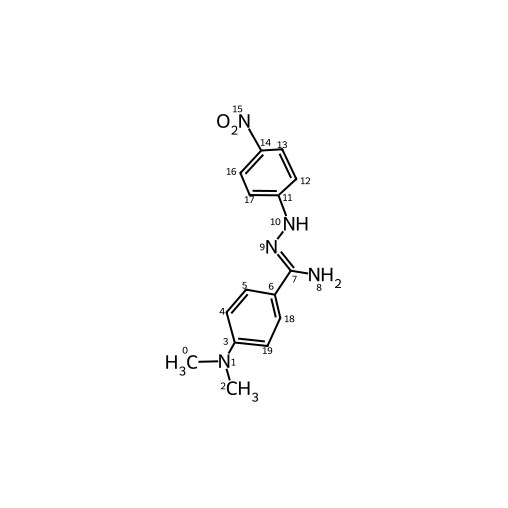 CN(C)c1ccc(/C(N)=N/Nc2ccc([N+](=O)[O-])cc2)cc1